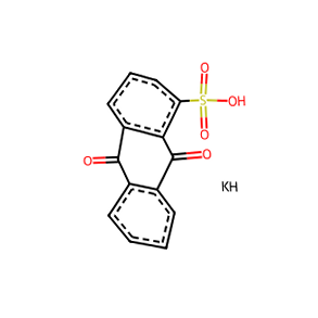 O=C1c2ccccc2C(=O)c2c1cccc2S(=O)(=O)O.[KH]